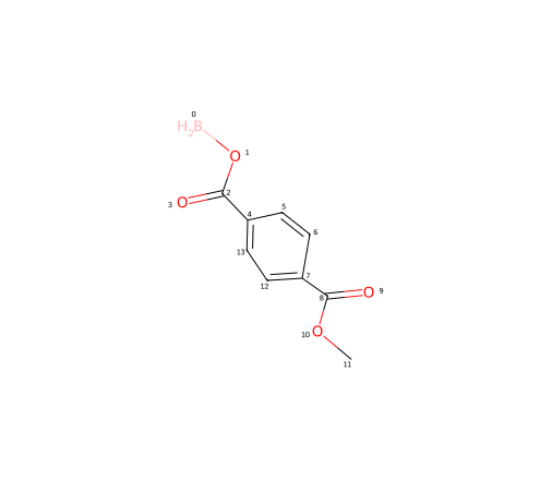 BOC(=O)c1ccc(C(=O)OC)cc1